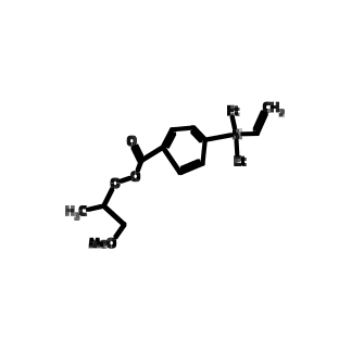 C=C[Si](CC)(CC)c1ccc(C(=O)OO[C](C)COC)cc1